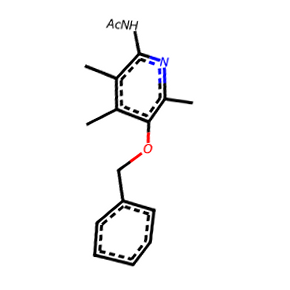 CC(=O)Nc1nc(C)c(OCc2ccccc2)c(C)c1C